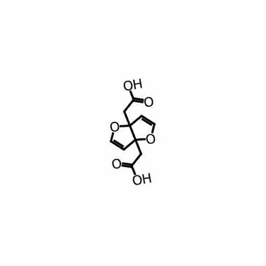 O=C(O)CC12C=COC1(CC(=O)O)C=CO2